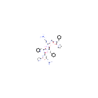 C[C@H](NC(=O)[C@H](CCCNC(=N)N)NC(=O)[C@H](CCc1ccccc1)NC(=O)[C@H](Cc1ccccc1)NC(=O)[C@H](CCCNC(=N)N)NC(=O)[C@@H]1CCCN1)C(=O)N[C@@H](Cc1ccccc1)C(=O)N1CCC[C@@H]1C(=O)O